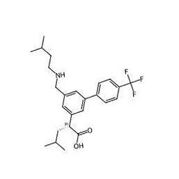 CC(C)CCNCc1cc(-c2ccc(C(F)(F)F)cc2)cc([C@@H](CC(C)C)C(=O)O)c1